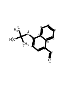 CC(C)(C)Oc1ccc(C=O)c2ccccc12